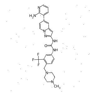 CN1CCN(Cc2ccc(NC(=O)Nc3cc4cc(-c5cccnc5N)ccn4n3)cc2C(F)(F)F)CC1